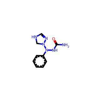 NC(=O)NN(c1ccccc1)N1CNC=N1